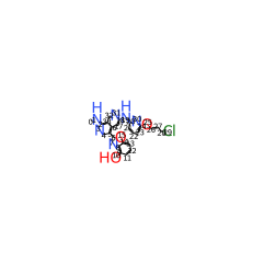 CNc1ncc(-c2nc3c(O)cccc3o2)c2cc(Nc3cccc(OCCCCl)n3)ncc12